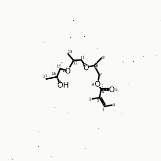 CC=C(C)C(=O)OCC(C)OCC(C)OCC(C)O